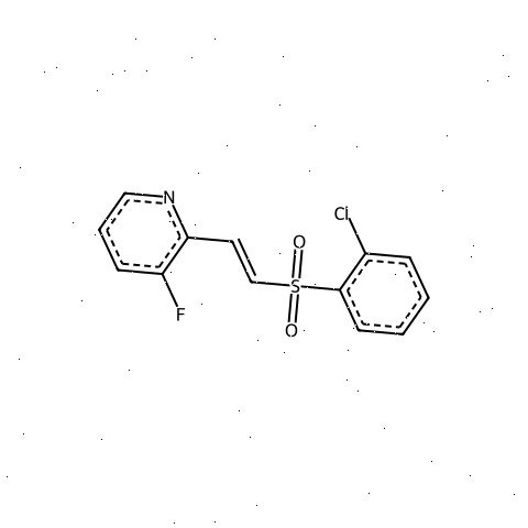 O=S(=O)(C=Cc1ncccc1F)c1ccccc1Cl